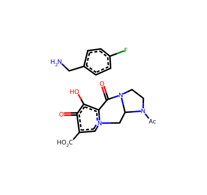 CC(=O)N1CCN2C(=O)c3c(O)c(=O)c(C(=O)O)cn3CC12.NCc1ccc(F)cc1